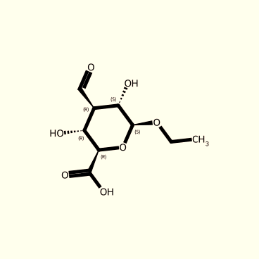 CCO[C@H]1O[C@@H](C(=O)O)[C@H](O)[C@@H](C=O)[C@@H]1O